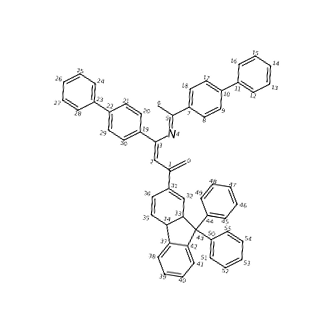 C=C(/C=C(\N=C(/C)c1ccc(-c2ccccc2)cc1)c1ccc(-c2ccccc2)cc1)C1=CC2C(C=C1)c1ccccc1C2(c1ccccc1)c1ccccc1